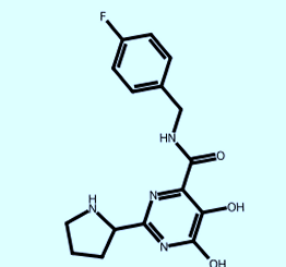 O=C(NCc1ccc(F)cc1)c1nc(C2CCCN2)nc(O)c1O